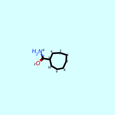 NC(=O)C1C[CH]CCCCC1